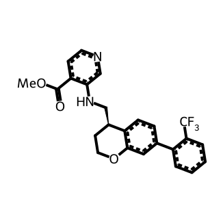 COC(=O)c1ccncc1NC[C@@H]1CCOc2cc(-c3ccccc3C(F)(F)F)ccc21